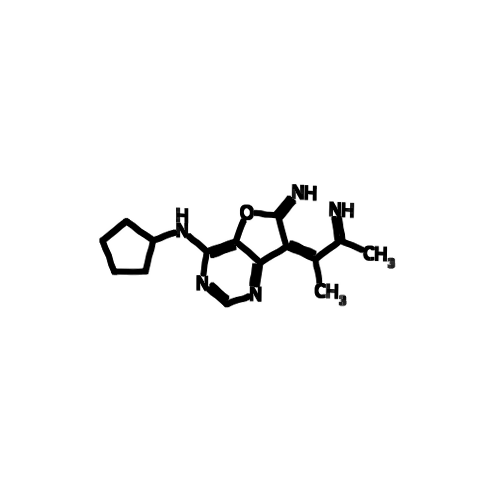 CC(=N)/C(C)=C1\C(=N)Oc2c(NC3CCCC3)ncnc21